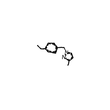 CCc1ccc(Cn2ccc(C)n2)cc1